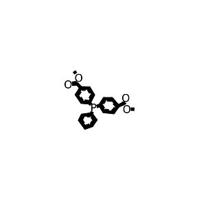 COC(=O)c1ccc(P(c2ccccc2)c2ccc(C(=O)OC)cc2)cc1